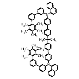 Cc1c(C)c(C)c(-c2cccc(-c3cccc(N(c4ccc(-c5ccc(C(C)(C)c6ccc(-c7ccc(N(c8cccc(-c9cccc(-c%10c(C)c(C)c(C)c(C)c%10C)c9)c8)c8cccc9ccccc89)cc7)cc6)cc5)cc4)c4cccc5ccccc45)c3)c2)c(C)c1C